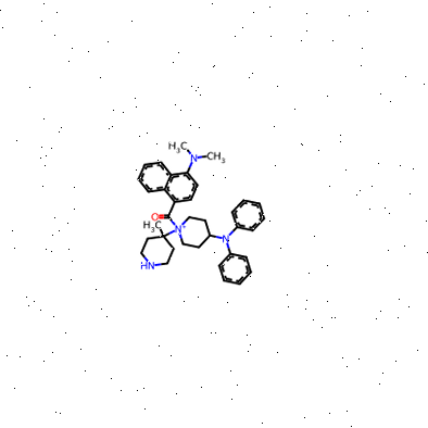 CN(C)c1ccc(C(=O)[N+]2(C3(C)CCNCC3)CCC(N(c3ccccc3)c3ccccc3)CC2)c2ccccc12